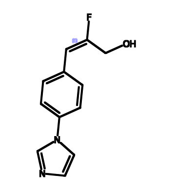 OC/C(F)=C\c1ccc(-n2ccnc2)cc1